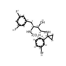 O=C(O)N[C@@H](Cc1cc(F)cc(F)c1)[C@@H](O)CNC1(c2cccc(Br)c2)CC1